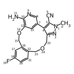 Cn1nc2c(c1C#N)-c1cnc(N)c(c1)OCc1cc(F)ccc1COC2